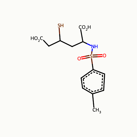 Cc1ccc(S(=O)(=O)NC(CC(S)CC(=O)O)C(=O)O)cc1